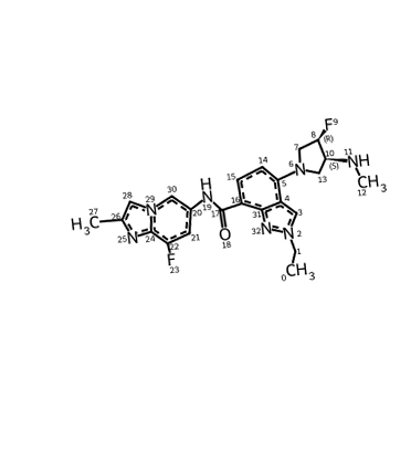 CCn1cc2c(N3C[C@@H](F)[C@@H](NC)C3)ccc(C(=O)Nc3cc(F)c4nc(C)cn4c3)c2n1